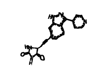 O=C1NC(=O)[C@H](C#Cc2ccc3c(-c4ccncc4)n[nH]c3c2)N1